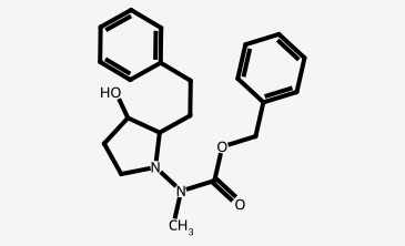 CN(C(=O)OCc1ccccc1)N1CCC(O)C1CCc1ccccc1